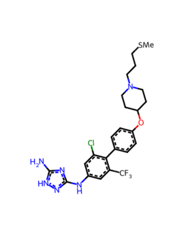 CSCCCN1CCC(Oc2ccc(-c3c(Cl)cc(Nc4n[nH]c(N)n4)cc3C(F)(F)F)cc2)CC1